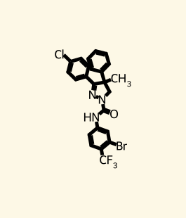 CC1(c2ccccc2)CN(C(=O)Nc2ccc(C(F)(F)F)c(Br)c2)N=C1c1ccc(Cl)cc1